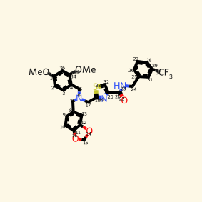 COc1ccc(CN(Cc2ccc3c(c2)OCO3)Cc2nc(C(=O)NCc3cccc(C(F)(F)F)c3)cs2)c(OC)c1